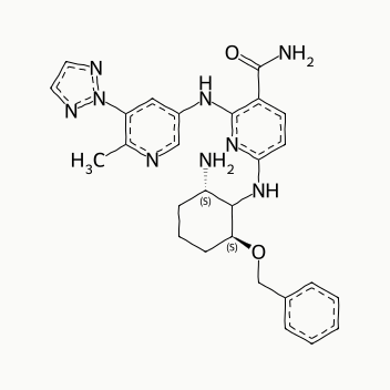 Cc1ncc(Nc2nc(NC3[C@@H](OCc4ccccc4)CCC[C@@H]3N)ccc2C(N)=O)cc1-n1nccn1